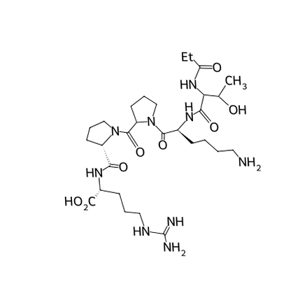 CCC(=O)NC(C(=O)N[C@@H](CCCCN)C(=O)N1CCCC1C(=O)N1CCC[C@H]1C(=O)N[C@H](CCCNC(=N)N)C(=O)O)C(C)O